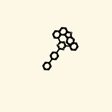 c1ccc(-c2ccc(-c3nc(-c4ccccc4)nc(-c4cccc5ccc6oc7ccccc7c6c45)n3)cc2)cc1